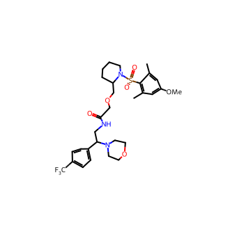 COc1cc(C)c(S(=O)(=O)N2CCCCC2COCC(=O)NCC(c2ccc(C(F)(F)F)cc2)N2CCOCC2)c(C)c1